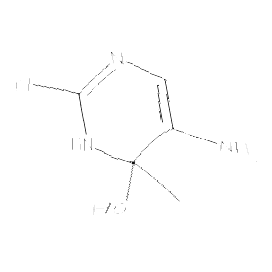 CC1(O)NC(Cl)=NC=C1N